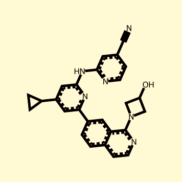 N#Cc1ccnc(Nc2cc(C3CC3)cc(-c3ccc4ccnc(N5CC(O)C5)c4c3)n2)c1